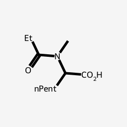 CCCCCC(C(=O)O)N(C)C(=O)CC